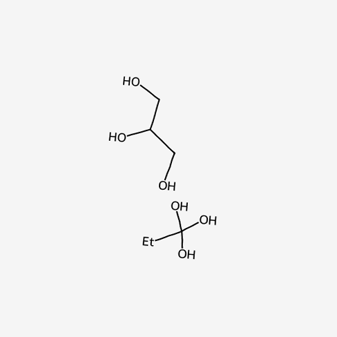 CCC(O)(O)O.OCC(O)CO